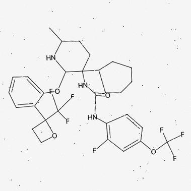 CC1CCC(NC(=O)Nc2ccc(OC(F)(F)F)cc2F)(C2CCCCC2)C(Oc2ccccc2C2(C(F)(F)F)CCO2)N1